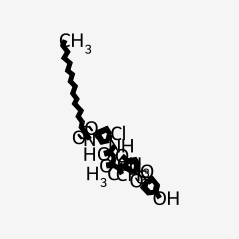 CCCCCCCCCCCCCCCCS(=O)(=O)Nc1ccc(Cl)c(NC(=O)C(Oc2ccc(S(=O)(=O)c3ccc(O)cc3)cc2)C(=O)C(C)(C)C)c1